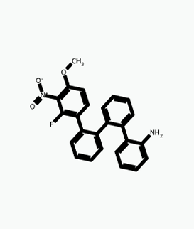 COc1ccc(-c2ccccc2-c2ccccc2-c2ccccc2N)c(F)c1[N+](=O)[O-]